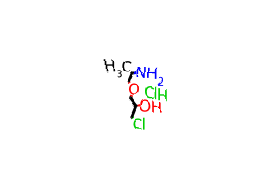 C[C@@H](N)COC[C@@H](O)CCl.Cl